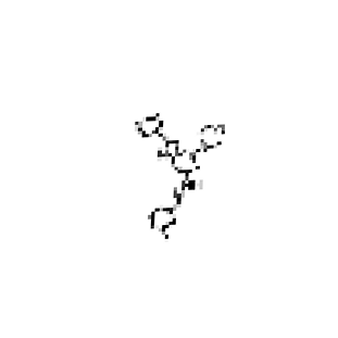 Cc1cccc(/C=N/Nc2cc3nc(-c4cccnc4)cn3c(N3CCOCC3)n2)c1